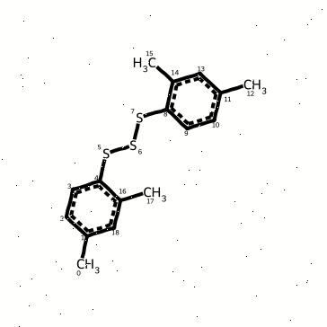 Cc1ccc(SSSc2ccc(C)cc2C)c(C)c1